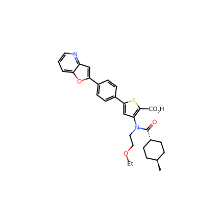 CCOCCN(c1cc(-c2ccc(-c3cc4ncccc4o3)cc2)sc1C(=O)O)C(=O)[C@H]1CC[C@H](C)CC1